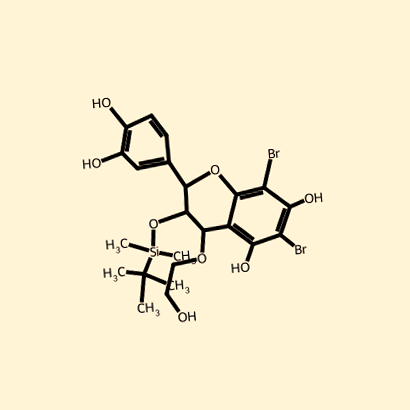 CC(C)(C)[Si](C)(C)OC1C(c2ccc(O)c(O)c2)Oc2c(Br)c(O)c(Br)c(O)c2C1OCCO